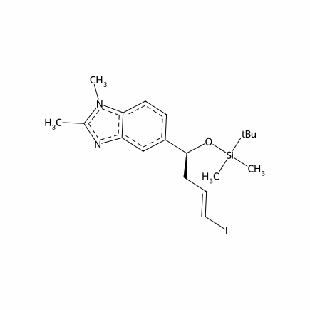 Cc1nc2cc([C@H](C/C=C/I)O[Si](C)(C)C(C)(C)C)ccc2n1C